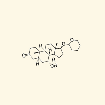 C[C@]12CCC(=O)C[C@H]1C[C@@H](O)[C@@H]1[C@@H]2CC[C@]2(C)[C@@H](OC3CCCCO3)CC[C@@H]12